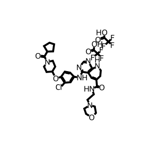 O=C(NCCN1CCOCC1)C1=Cc2c(ncnc2Nc2ccc(OC3CCN(C(=O)C4CCCC4)CC3)c(Cl)c2)NCC1.O=C(O)C(F)(F)F.O=C(O)C(F)(F)F